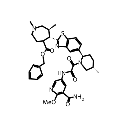 COc1ncc(NC(=O)C(=O)N2C[C@@H](C)CC[C@@H]2c2ccc3sc([C@@H]4C(C(=O)OCc5ccccc5)CCN(C)C[C@H]4C)nc3c2)cc1C(N)=O